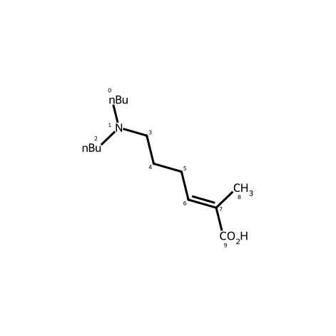 CCCCN(CCCC)CCCC=C(C)C(=O)O